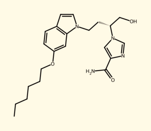 CCCCCCOc1ccc2ccn(CC[C@H](CO)n3cnc(C(N)=O)c3)c2c1